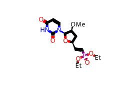 CCOP(=O)(/C=C/[C@@H]1C[C@H](OC)[C@H](n2ccc(=O)[nH]c2=O)O1)OCC